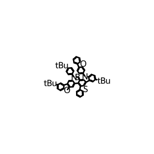 CC(C)(C)c1ccc(N2B3c4cc5c(cc4-n4c6ccc(C(C)(C)C)cc6c6c7sc8ccccc8c7c(c3c64)-c3cc4oc6ccc(C(C)(C)C)cc6c4cc32)oc2ccccc25)cc1